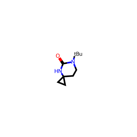 CC(C)(C)N1CCC2(CC2)NC1=O